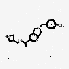 O=C(NCC1CNC1)c1cnc2c(c1)CN(Cc1ccc(C(F)(F)F)cc1)C2